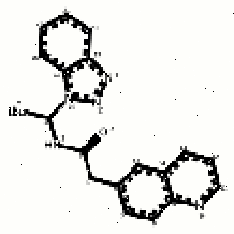 CC(C)(C)C(NC(=O)Cc1ccc2ncccc2c1)n1nnc2ccccc21